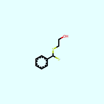 OCCSC([S])c1ccccc1